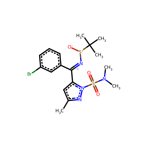 Cc1cc(/C(=N/[S+]([O-])C(C)(C)C)c2cccc(Br)c2)n(S(=O)(=O)N(C)C)n1